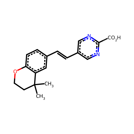 CC1(C)CCOc2ccc(C=Cc3cnc(C(=O)O)nc3)cc21